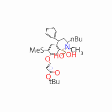 CCCCC1CC(c2ccccc2)c2cc(SC)c(O/C=C/C(=O)OC(C)(C)C)cc2S(O)(O)N1C